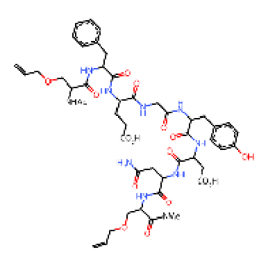 C=CCOCC(NC(C)=O)C(=O)NC(Cc1ccccc1)C(=O)NC(CCC(=O)O)C(=O)NCC(=O)NC(Cc1ccc(O)cc1)C(=O)NC(CC(=O)O)C(=O)NC(CC(N)=O)C(=O)NC(COCC=C)C(=O)NC